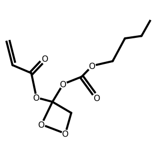 C=CC(=O)OC1(OC(=O)OCCCC)COO1